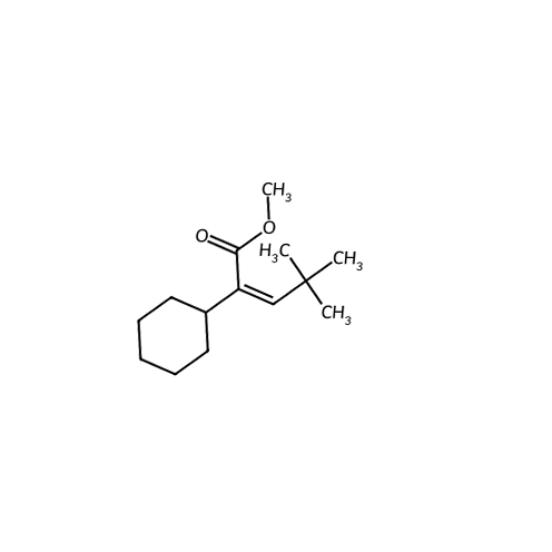 COC(=O)C(=CC(C)(C)C)C1CCCCC1